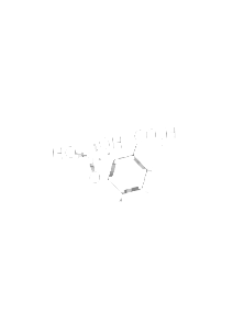 O=C(O)c1ccccc1.O=S(O)O